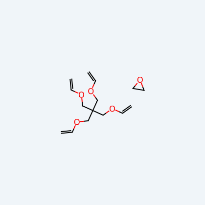 C1CO1.C=COCC(COC=C)(COC=C)COC=C